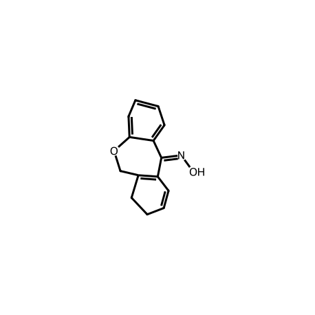 O/N=C1\C2=C(CCC=C2)COc2ccccc21